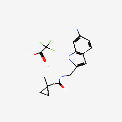 CC1(C(=O)NCc2cc3ccc(N)cc3[nH]2)CC1.O=C(O)C(F)(F)F